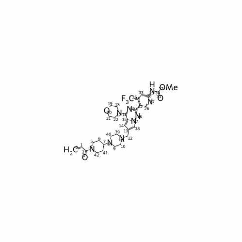 C=CC(=O)N1CCC(N2CCN(Cc3cc4c(N5CCOCC5)nc(-c5cnc(NC(=O)OC)cc5C(F)(F)F)nn4c3)CC2)CC1